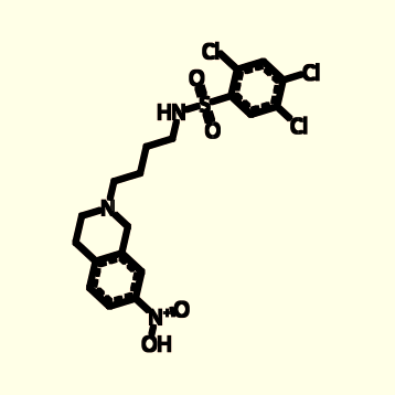 O=[N+](O)c1ccc2c(c1)CN(CCCCNS(=O)(=O)c1cc(Cl)c(Cl)cc1Cl)CC2